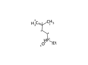 C=C(C)CC[PH](=O)CC